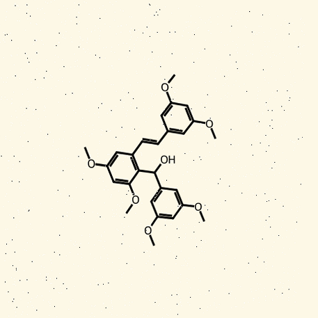 COc1cc(/C=C/c2cc(OC)cc(OC)c2C(O)c2cc(OC)cc(OC)c2)cc(OC)c1